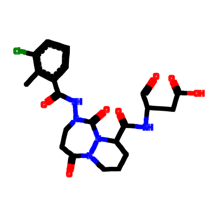 Cc1c(Cl)cccc1C(=O)NN1CCC(=O)N2CCCC(C(=O)NC(C=O)CC(=O)O)N2C1=O